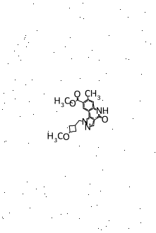 COC(=O)c1cc2c(cc1C)[nH]c(=O)c1cnn(CC3CC(OC)C3)c12